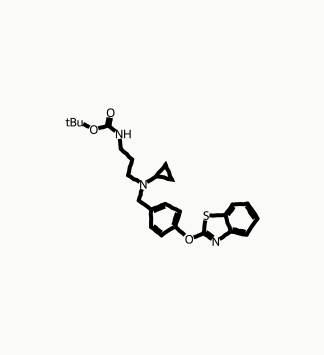 CC(C)(C)OC(=O)NCCCN(Cc1ccc(Oc2nc3ccccc3s2)cc1)C1CC1